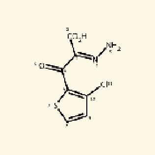 NN=C(C(=O)O)C(=O)c1sccc1Cl